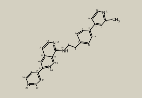 Cc1cc(-c2ccc(CCNc3nccc4cc(-c5ccnnc5)ncc34)cc2)ccn1